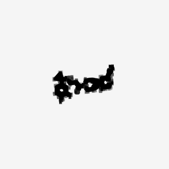 C[C@H]1CC2CN(C(=O)CCNC3(c4ccc(F)c(F)c4)CC3)CC1N2c1ccnc(C#N)c1